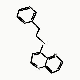 c1ccc(CCNc2ccnc3cccnc23)cc1